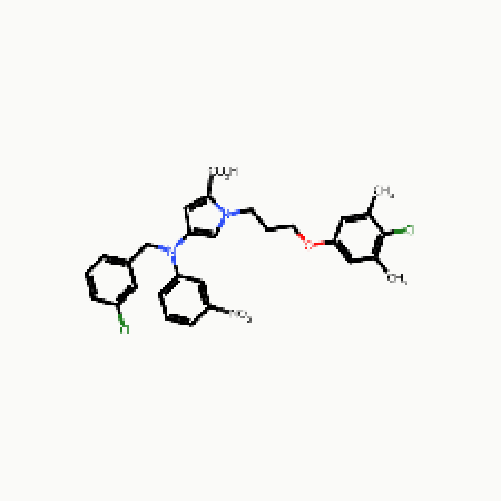 Cc1cc(OCCCn2cc(N(Cc3cccc(Cl)c3)c3cccc([N+](=O)[O-])c3)cc2C(=O)O)cc(C)c1Cl